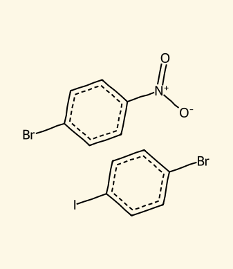 Brc1ccc(I)cc1.O=[N+]([O-])c1ccc(Br)cc1